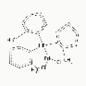 Cc1ccccc1[PH](c1ccccc1C)(c1ccccc1C)[Pd]([Cl])[Cl]